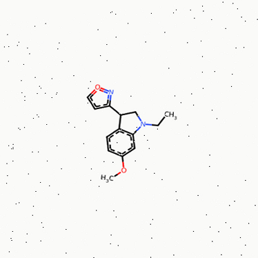 CCN1CC(c2ccon2)c2ccc(OC)cc21